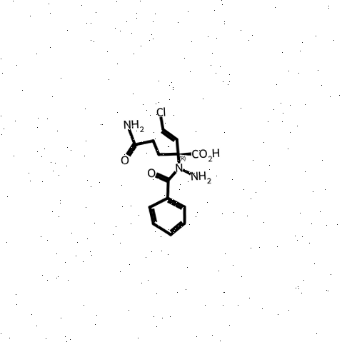 NC(=O)CC[C@@](C=CCl)(C(=O)O)N(N)C(=O)c1ccccc1